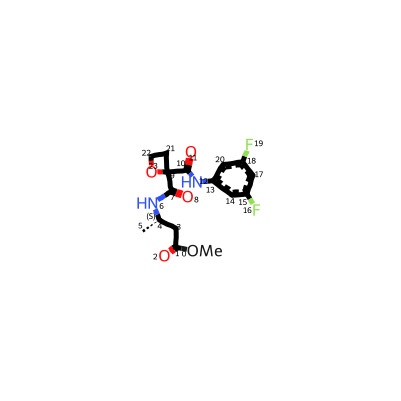 COC(=O)C[C@H](C)NC(=O)C1(C(=O)Nc2cc(F)cc(F)c2)CCO1